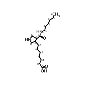 CCCCCCNC(=O)C1CNCC1CCCCCCC(=O)O